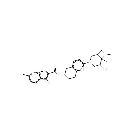 CCN1CC2CN(c3ccc4c(n3)CC[C@H](NC(=O)c3sc5nc(C)ccc5c3N)C4)CC(N)C21C